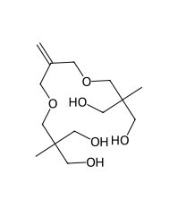 C=C(COCC(C)(CO)CO)COCC(C)(CO)CO